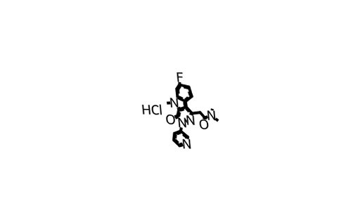 CN(C)C(=O)Cc1nn(-c2cccnc2)c(=O)c2c1c1ccc(F)cc1n2C.Cl